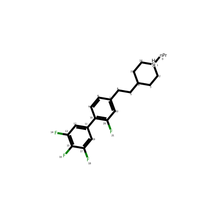 CCC[SiH]1CCC(CCc2ccc(-c3cc(F)c(F)c(F)c3)c(F)c2)CC1